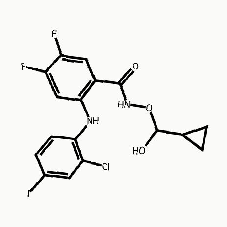 O=C(NOC(O)C1CC1)c1cc(F)c(F)cc1Nc1ccc(I)cc1Cl